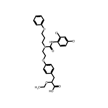 CCOC(Cc1ccc(OCCN(CCCOc2ccccc2)C(=O)Nc2ccc(Cl)cc2Cl)cc1)C(=O)O